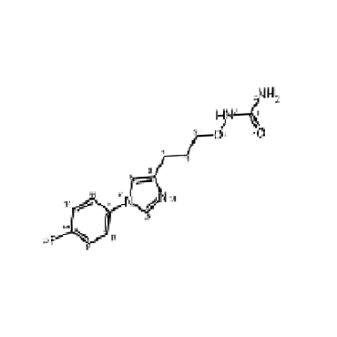 NC(=O)NOCCCc1cn(-c2ccc(F)cc2)cn1